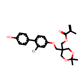 C=C(C)C(=O)OCC1(COc2ccc(-c3ccc(O)cc3)c(CC)c2)COC(C)(C)OC1